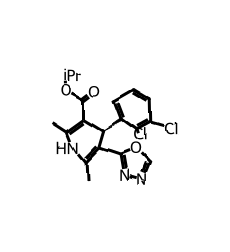 CC1=C(C(=O)OC(C)C)[C@@H](c2cccc(Cl)c2Cl)C(c2nnco2)=C(C)N1